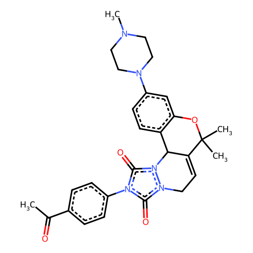 CC(=O)c1ccc(-n2c(=O)n3n(c2=O)C2C(=CC3)C(C)(C)Oc3cc(N4CCN(C)CC4)ccc32)cc1